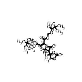 CC(C)(C)C(=O)OCOC(=O)C1=C(CO[Si](C)(C)C(C)(C)C)S[C@H]2C(C3(C)COC(=O)O3)C(=O)N12